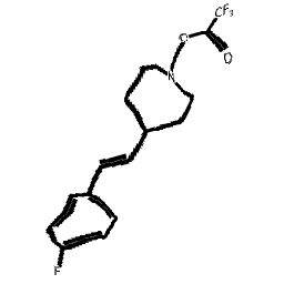 O=C(ON1CCC(/C=C/c2ccc(F)cc2)CC1)C(F)(F)F